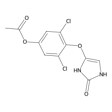 CC(=O)Oc1cc(Cl)c(Oc2c[nH]c(=O)[nH]2)c(Cl)c1